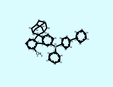 Cc1cccc2c1-c1cc(N(c3ccccc3)c3ccc(-c4ccccc4)cc3)ccc1C21C2CC3CC(C2)CC1C3